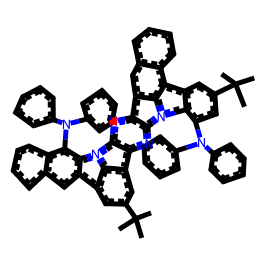 CC(C)(C)c1cc(N(c2ccccc2)c2ccccc2)c2c(c1)c1c3ccccc3cc3c4nc5c(nc4n2c31)c1cc(C(C)(C)C)cc2c3cc4ccccc4c(N(c4ccccc4)c4ccccc4)c3n5c21